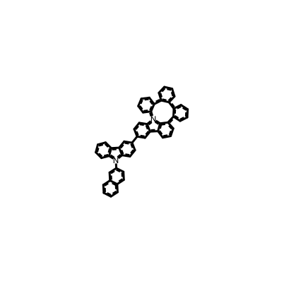 c1ccc2cc(-n3c4ccccc4c4cc(-c5ccc6c(c5)c5cccc7c8ccccc8c8ccccc8c8ccccc8n6c75)ccc43)ccc2c1